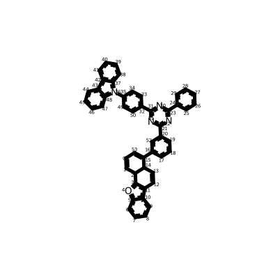 C1=CC2c3oc4ccccc4c3C=CC2C(c2cccc(-c3nc(-c4ccccc4)nc(-c4ccc(-n5c6ccccc6c6ccccc65)cc4)n3)c2)=C1